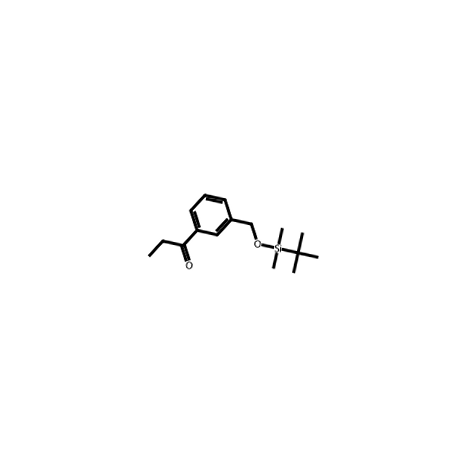 CCC(=O)c1cccc(CO[Si](C)(C)C(C)(C)C)c1